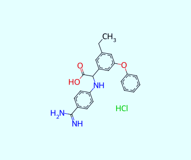 CCc1cc(Oc2ccccc2)cc(C(Nc2ccc(C(=N)N)cc2)C(=O)O)c1.Cl